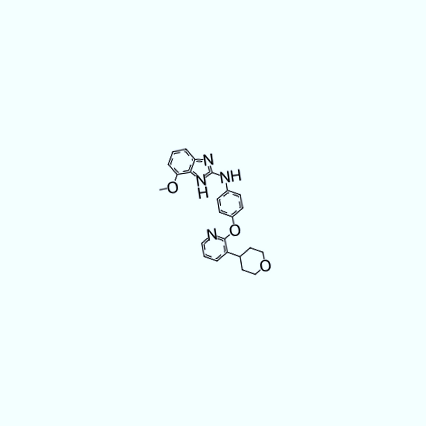 COc1cccc2nc(Nc3ccc(Oc4ncccc4C4CCOCC4)cc3)[nH]c12